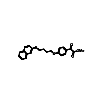 COC(=O)C(=O)c1ccc(OCCCCSc2ccc3ccccc3c2)cc1